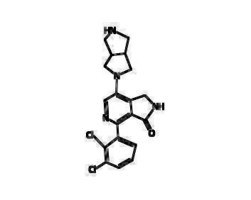 O=C1NCc2c(N3CC4CNCC4C3)cnc(-c3cccc(Cl)c3Cl)c21